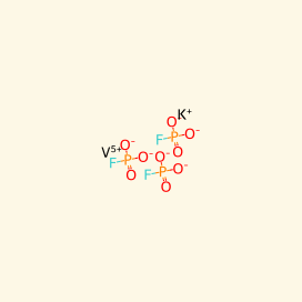 O=P([O-])([O-])F.O=P([O-])([O-])F.O=P([O-])([O-])F.[K+].[V+5]